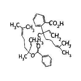 C=CC(C)(CCC=C(C)C)OC(=O)c1ccccc1.C=CC(C)(CCC=C(C)C)c1ccccc1C(=O)O